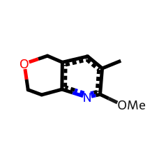 COc1nc2c(cc1C)COCC2